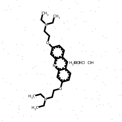 CCN(CC)CCOc1ccc2cc3ccc(OCCN(CC)CC)cc3nc2c1.Cl.Cl.Cl.O